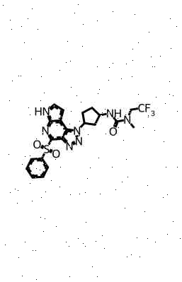 CN(CC(F)(F)F)C(=O)NC1CCC(n2nnc3c(S(=O)(=O)c4ccccc4)nc4[nH]ccc4c32)C1